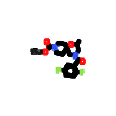 CC1CN(C(=O)c2cc(F)ccc2F)CC2(CCN(C(=O)OC(C)(C)C)CC2)O1